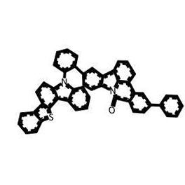 O=c1c2ccc(-c3ccccc3)cc2c2cccc3c4cc(-c5ccccc5-n5c6ccccc6c6c7sc8ccccc8c7ccc65)ccc4n1c23